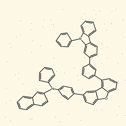 c1ccc(N(c2ccc(-c3ccc4oc5cccc(-c6cccc(-c7ccc8c9ccccc9n(-c9ccccc9)c8c7)c6)c5c4c3)cc2)c2ccc3ccccc3c2)cc1